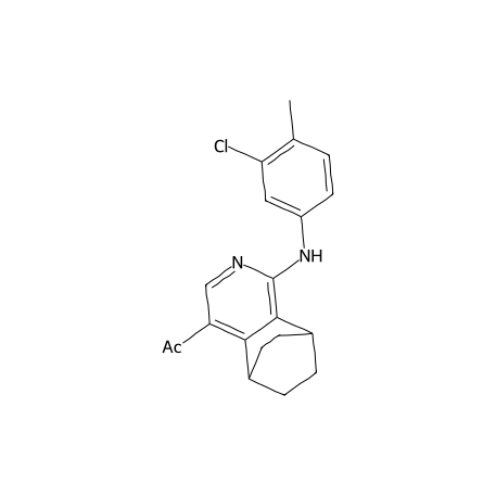 CC(=O)c1cnc(Nc2ccc(C)c(Cl)c2)c2c1C1CCC2CC1